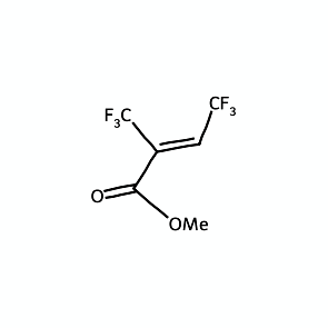 COC(=O)C(=CC(F)(F)F)C(F)(F)F